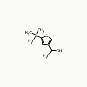 CC(O)c1coc([Si](C)(C)C)c1